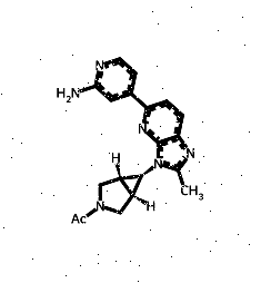 CC(=O)N1C[C@@H]2[C@H](C1)[C@H]2n1c(C)nc2ccc(-c3ccnc(N)c3)nc21